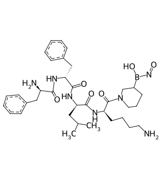 CC(C)C[C@@H](NC(=O)[C@@H](Cc1ccccc1)NC(=O)[C@H](N)Cc1ccccc1)C(=O)N[C@H](CCCCN)C(=O)N1CCCC(B(O)N=O)C1